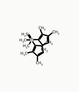 CC1=CC(C)[C]([Ti]([CH3])([CH3])(=[SiH2])[C]2=C(C)C(C)=CC2C)=C1C